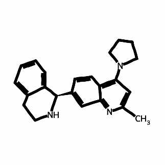 Cc1cc(N2CCCC2)c2ccc([C@H]3NCCc4ccccc43)cc2n1